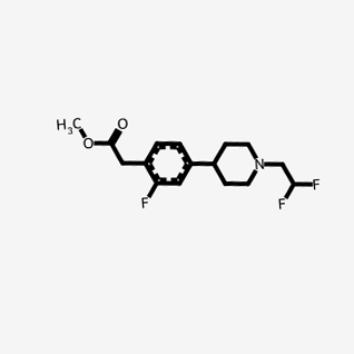 COC(=O)Cc1ccc(C2CCN(CC(F)F)CC2)cc1F